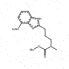 CC(=O)Nc1cccc2[nH]c(CCCN(C)C(=O)OC(C)(C)C)nc12